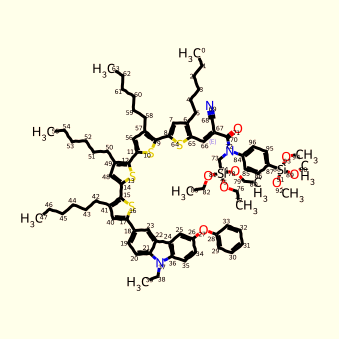 CCCCCCc1cc(-c2sc(-c3sc(-c4sc(-c5ccc6c(c5)c5cc(Oc7ccccc7)ccc5n6CC)cc4CCCCCC)cc3CCCCCC)cc2CCCCCC)sc1/C=C(\C#N)C(=O)N(C[Si](OCC)(OCC)OCC)c1ccc([Si](OC)(OC)OC)cc1